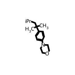 CC(C)CC(C)(C)c1ccc(N2CCOCC2)cc1